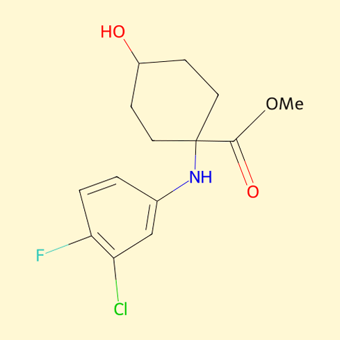 COC(=O)C1(Nc2ccc(F)c(Cl)c2)CCC(O)CC1